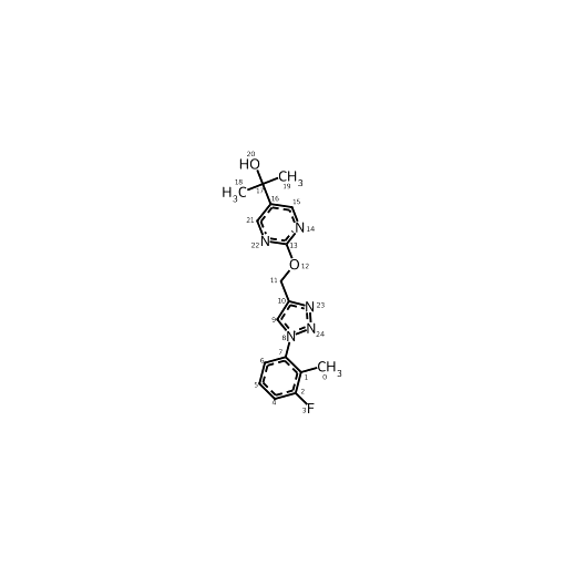 Cc1c(F)cccc1-n1cc(COc2ncc(C(C)(C)O)cn2)nn1